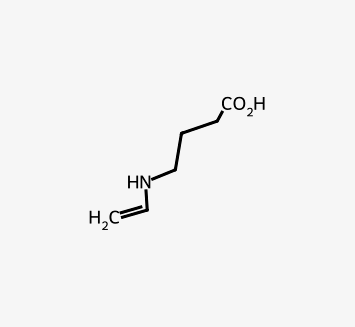 C=CNCCCC(=O)O